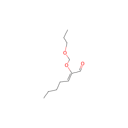 CCCCC=C(C=O)OCOCCC